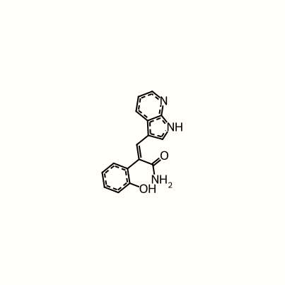 NC(=O)C(=Cc1c[nH]c2ncccc12)c1ccccc1O